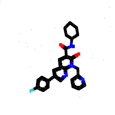 O=C(NC1CCCCC1)c1cc2cc(-c3ccc(F)cc3)cnc2n(Cc2ccccn2)c1=O